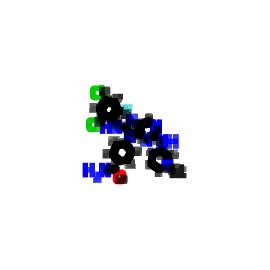 CCN1CCC[C@@H](Nc2ncc3nc(Nc4c(F)cc(Cl)cc4Cl)n([C@H]4CC[C@@H](C(N)=O)CC4)c3n2)C1